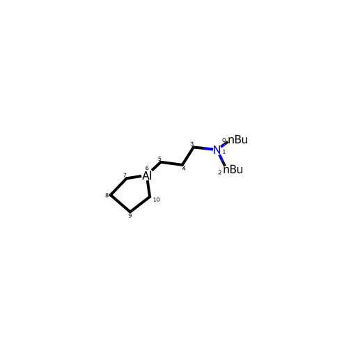 CCCCN(CCCC)CC[CH2][Al]1[CH2]CC[CH2]1